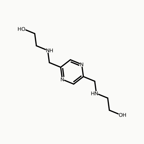 OCCNCc1cnc(CNCCO)cn1